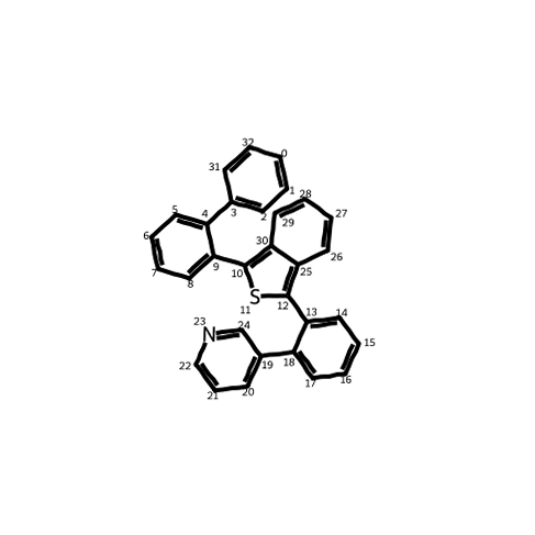 c1ccc(-c2ccccc2-c2sc(-c3ccccc3-c3cccnc3)c3ccccc23)cc1